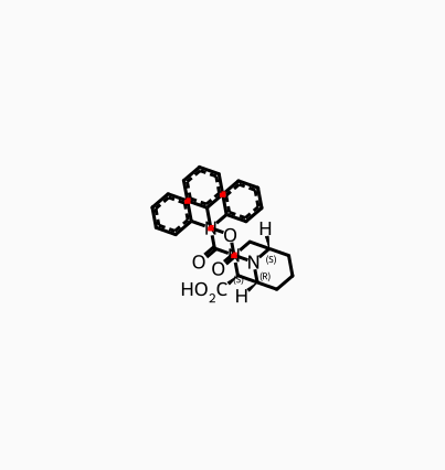 O=C(O)[C@@H]1[C@H]2CCC[C@@H](CN1C(=O)N(c1ccccc1)c1ccccc1)N2C(=O)OCc1ccccc1